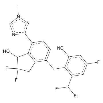 CCC(F)c1cc(F)cc(C#N)c1Cc1ccc(-c2ncn(C)n2)c2c1CC(F)(F)C2O